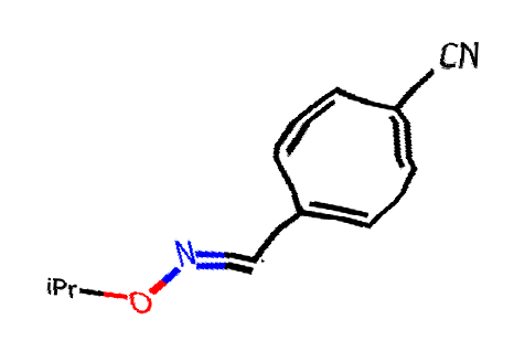 CC(C)O/N=[C]/c1ccc(C#N)cc1